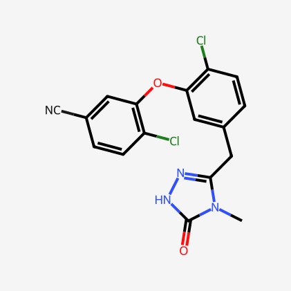 Cn1c(Cc2ccc(Cl)c(Oc3cc(C#N)ccc3Cl)c2)n[nH]c1=O